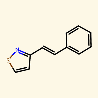 C(=Cc1ccsn1)c1ccccc1